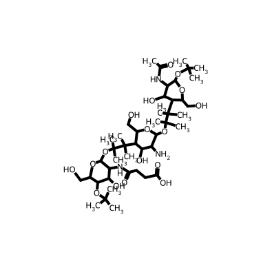 CC(=O)NC1C(OC(C)(C)C)OC(CO)C(C(C)(C)C(C)(C)OC2OC(CO)C(C(C)(C)C(C)(C)OC3OC(CO)C(OC(C)(C)C)C(O)C3NC(=O)CCC(=O)O)C(O)C2N)C1O